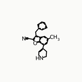 Cc1cc(C2=CCNCC2)c2oc(C#N)c(Cc3ccccc3)c2c1